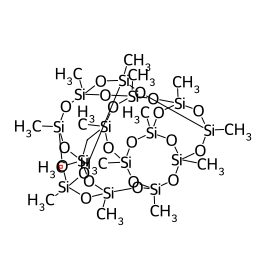 C[Si]12C[Si]3(C)O[Si]4(C)O[Si]5(C)O[Si](C)(O1)O[Si]1(C)O[Si](C)(O2)O[Si]2(C)O[Si](C)(O3)O[Si]3(C)O[Si](C)(O4)O[Si](C)(O5)O[Si](C)(O3)O[Si](C)(O1)O2